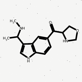 CNC(C)c1c[nH]c2ccc(C(=O)C3COCN3)cc12